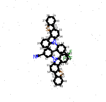 N#Cc1ccc(-c2cc(C(F)(F)F)ccc2-n2c3ccccc3c3c4sc5ccccc5c4ccc32)c(-n2c3ccccc3c3c4sc5ccccc5c4ccc32)c1